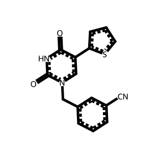 N#Cc1cccc(Cn2cc(-c3cccs3)c(=O)[nH]c2=O)c1